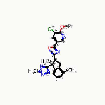 Cc1cccc2c1CC(c1noc(-c3cnc(OC(C)C)c(Cl)c3)n1)[C@@]2(C)c1nnn(C)n1